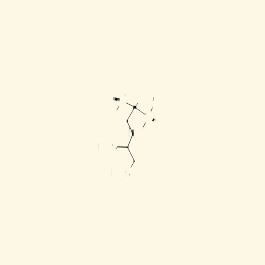 NCC(N)CCC(O)(P(=O)(O)O)P(=O)(O)O